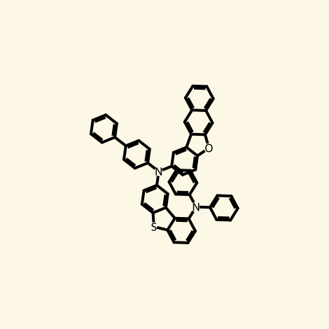 c1ccc(-c2ccc(N(c3ccc4oc5cc6ccccc6cc5c4c3)c3ccc4sc5cccc(N(c6ccccc6)c6ccccc6)c5c4c3)cc2)cc1